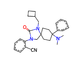 CN(C)C1(c2ccccc2)CCC2(CC1)CN(c1ccccc1C#N)C(=O)N2CC1CCC1